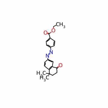 CCOC(=O)c1ccc(N=Nc2ccc3c(c2)C(=O)CCC3(C)C)cc1